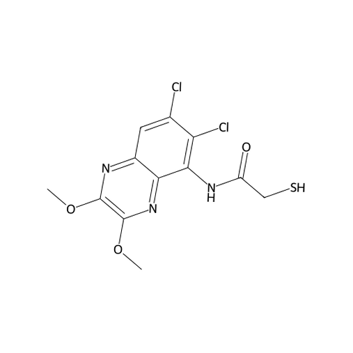 COc1nc2cc(Cl)c(Cl)c(NC(=O)CS)c2nc1OC